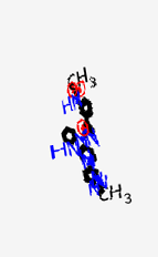 COC(=O)Nc1cccc(-c2cnc(N[C@@H]3CCCC[C@H]3N[C@H]3CCCN(c4ccc5nc(C)nn5c4)C3)o2)c1